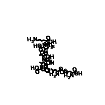 CC(C)C(N)C(=O)O.CC(C)CC(N)C(=O)O.CC(O)C(N)C(=O)O.CCC(C)C(N)C(=O)O.CSCCC(N)C(=O)O.NC(Cc1ccccc1)C(=O)O.NCCCCC(N)C(=O)O